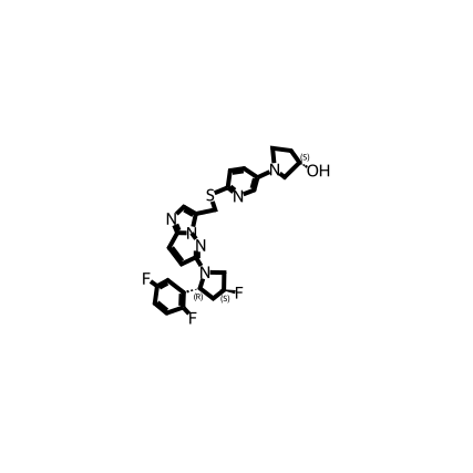 O[C@H]1CCN(c2ccc(SCc3cnc4ccc(N5C[C@@H](F)C[C@@H]5c5cc(F)ccc5F)nn34)nc2)C1